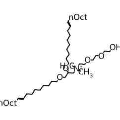 CCCCCCCCC=CCCCCCCCCOCC(C[N+](C)(C)CCOCCOCCO)OCCCCCCCCC=CCCCCCCCC